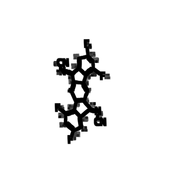 N#C/N=c1/c2cc3c(cc2c2c(F)cc(F)cc12)/c(=N/C#N)c1cc(F)cc(F)c13